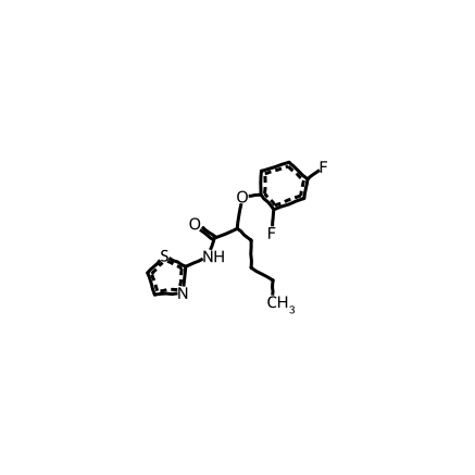 CCCCC(Oc1ccc(F)cc1F)C(=O)Nc1nccs1